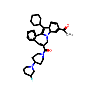 COC(=O)C1=CC2C(C=C1)C(C1CCCCC1)=C1c3ccccc3C=C(C(=O)N3CCC(N4CCCC(F)C4)CC3)CN12